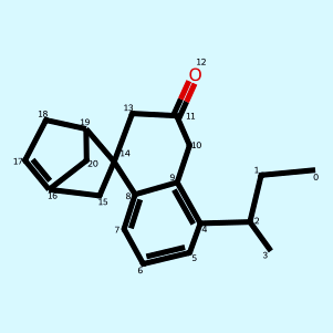 CCC(C)c1cccc2c1CC(=O)CC21CC2=CCC1C2